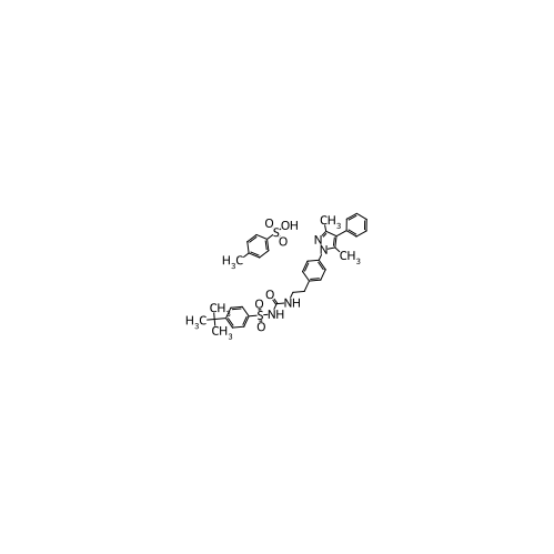 Cc1ccc(S(=O)(=O)O)cc1.Cc1nn(-c2ccc(CCNC(=O)NS(=O)(=O)c3ccc(C(C)(C)C)cc3)cc2)c(C)c1-c1ccccc1